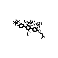 CCOc1cc(-c2ccc(OS(C)(=O)=O)cc2)c(OCC)c(OS(C)(=O)=O)c1-c1ccc(OCC=C(C)C)c(OS(C)(=O)=O)c1